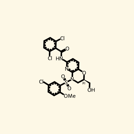 COc1ccc(Cl)cc1S(=O)(=O)N1C[C@H](CO)Oc2ccc(NC(=O)c3c(Cl)cccc3Cl)nc21